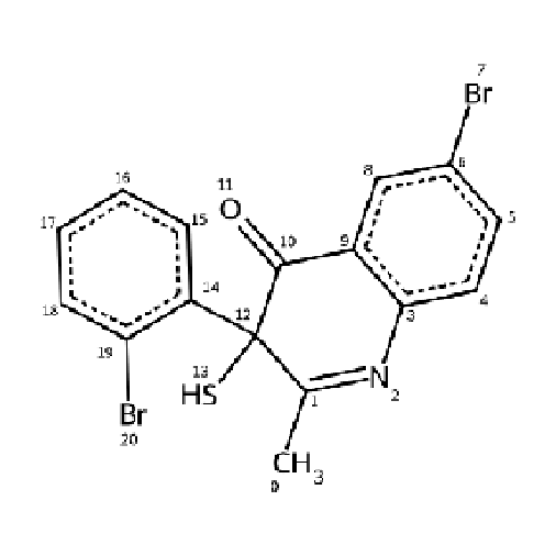 CC1=Nc2ccc(Br)cc2C(=O)C1(S)c1ccccc1Br